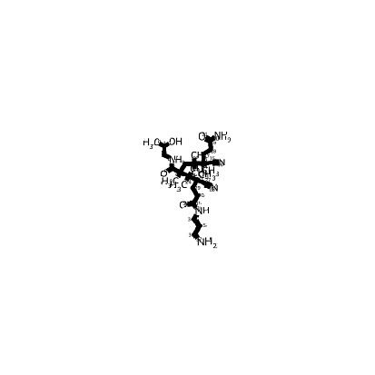 CC(O)CNC(=O)C(C)(CC(C)(C)C(C)(C#N)CCC(N)=O)C(C)(C)C(C)(C#N)CCC(=O)NCCCN